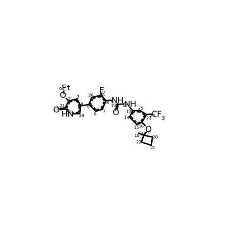 CCOc1cc(-c2ccc(NC(=O)Nc3ccc(OC4(C)CCC4)c(C(F)(F)F)c3)c(F)c2)c[nH]c1=O